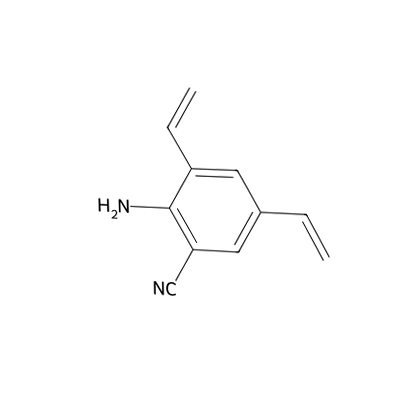 C=Cc1cc(C#N)c(N)c(C=C)c1